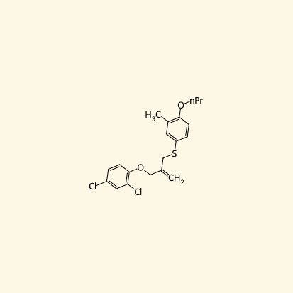 C=C(COc1ccc(Cl)cc1Cl)CSc1ccc(OCCC)c(C)c1